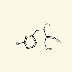 C/C=C(\COC)N(C)Cc1cccc(Cl)c1